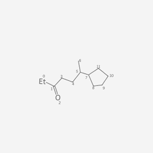 CCC(=O)CCC(C)C1CCCC1